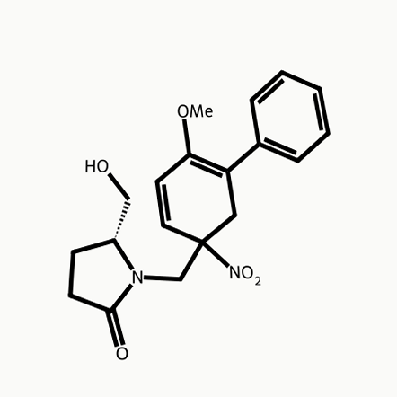 COC1=C(c2ccccc2)CC(CN2C(=O)CC[C@@H]2CO)([N+](=O)[O-])C=C1